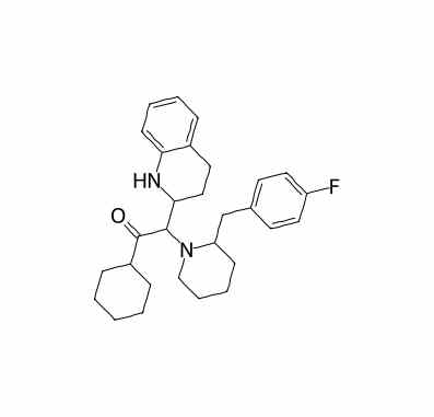 O=C(C1CCCCC1)C(C1CCc2ccccc2N1)N1CCCCC1Cc1ccc(F)cc1